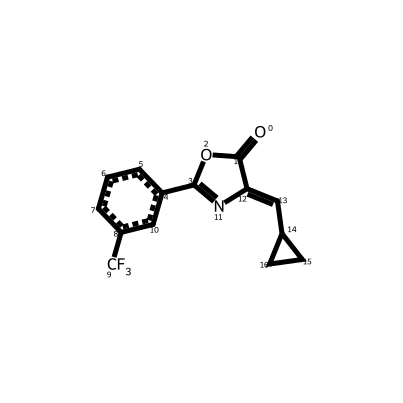 O=C1OC(c2cccc(C(F)(F)F)c2)=N/C1=C\C1CC1